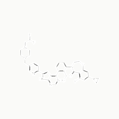 O=C1c2c(F)cc(C3CC3)cc2OCCN1c1cccc(-c2ncnc3[nH]c(-c4ccc(CN5CCN(CC(F)F)CC5)cn4)cc23)c1CO